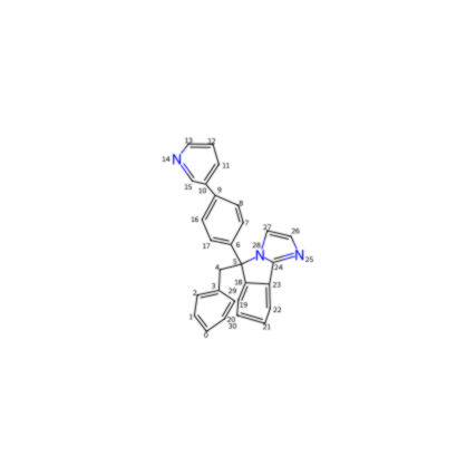 c1ccc(CC2(c3ccc(-c4cccnc4)cc3)c3ccccc3-c3nccn32)cc1